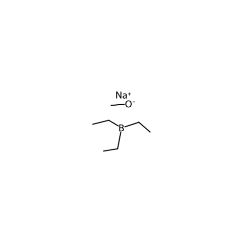 CCB(CC)CC.C[O-].[Na+]